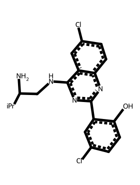 CC(C)C(N)CNc1nc(-c2cc(Cl)ccc2O)nc2ccc(Cl)cc12